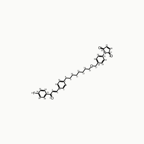 O=C(C=Cc1ccc(CCCCCCCCOCc2ccc(N3C(=O)C=CC3=O)cc2)cc1)c1ccc(F)cc1